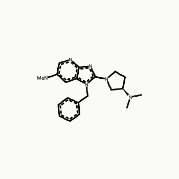 CNc1cnc2nc(N3CC[C@@H](N(C)C)C3)n(Cc3ccccc3)c2c1